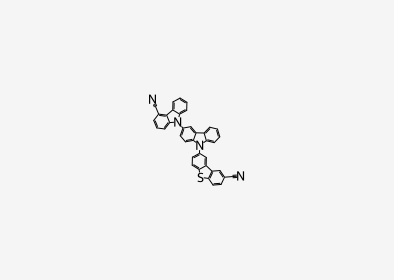 N#Cc1ccc2sc3ccc(-n4c5ccccc5c5cc(-n6c7ccccc7c7c(C#N)cccc76)ccc54)cc3c2c1